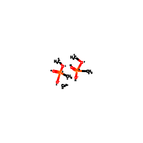 COP(C)(=O)[O-].COP(C)(=O)[O-].[Ca+2]